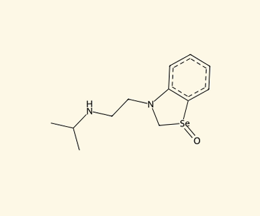 CC(C)NCCN1C[Se](=O)c2ccccc21